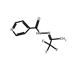 CC(=NNC(=O)c1ccncc1)C(F)(F)F